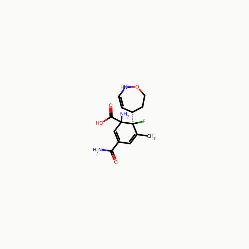 CC1=CC(C(N)=O)=CC(N)(C(=O)O)C1(F)[C@@H]1C=CNOCC1